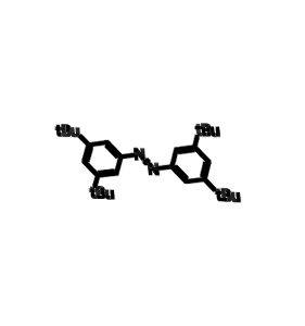 CC(C)(C)c1cc(N=Nc2cc(C(C)(C)C)cc(C(C)(C)C)c2)cc(C(C)(C)C)c1